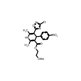 CCc1noc(C2=C(C)NC(C)=C(C(=O)OCCOC)C2c2ccc([N+](=O)[O-])cc2)n1